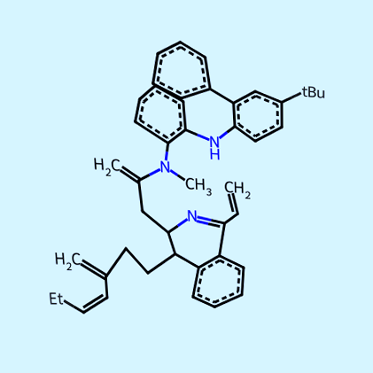 C=CC1=NC(CC(=C)N(C)c2ccccc2Nc2ccc(C(C)(C)C)cc2-c2ccccc2)C(CCC(=C)/C=C\CC)c2ccccc21